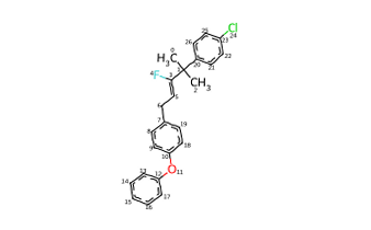 CC(C)(C(F)=CCc1ccc(Oc2ccccc2)cc1)c1ccc(Cl)cc1